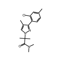 Cc1ccc(-c2nn(C(C)(C)C(=O)N(C)C)cc2C)c(Cl)c1